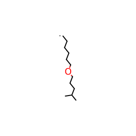 [CH2]CCCCCOCCCC(C)C